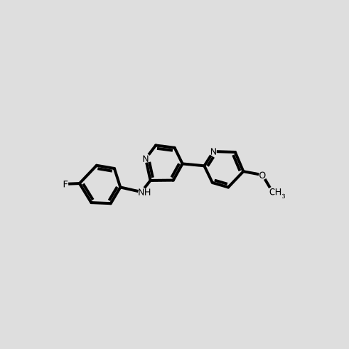 COc1ccc(-c2ccnc(Nc3ccc(F)cc3)c2)nc1